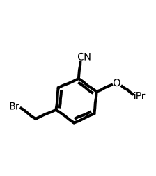 CC(C)Oc1ccc(CBr)cc1C#N